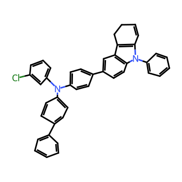 Clc1cccc(N(c2ccc(-c3ccccc3)cc2)c2ccc(-c3ccc4c(c3)c3c(n4-c4ccccc4)C=CCC3)cc2)c1